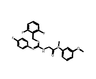 COc1cccc(N(C)C(=O)CNC(=Nc2ccc(F)cc2)SCc2c(F)cccc2F)c1